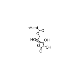 CCCCCCCC(=O)OC[C@H](O)[C@H]1OC(=O)C(O)=C1O